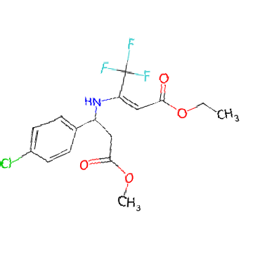 CCOC(=O)C=C(NC(CC(=O)OC)c1ccc(Cl)cc1)C(F)(F)F